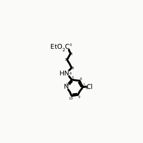 CCOC(=O)CCCNc1cc(Cl)ccn1